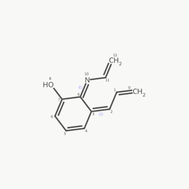 C=C/C=C1/C=CC=C(O)/C1=N/C=C